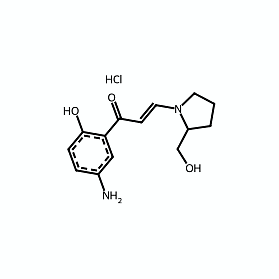 Cl.Nc1ccc(O)c(C(=O)C=CN2CCCC2CO)c1